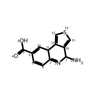 NC1N=C2C=CC(C(=O)O)=CC2c2cscc21